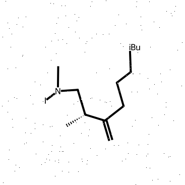 C=C(CCCC(C)CC)[C@H](C)CN(C)I